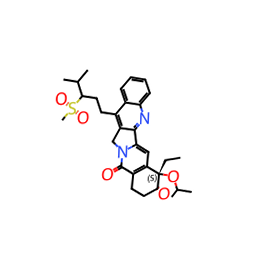 CC[C@@]1(OC(C)C)C(=O)CCc2c1cc1n(c2=O)Cc2c-1nc1ccccc1c2CCC(C(C)C)S(C)(=O)=O